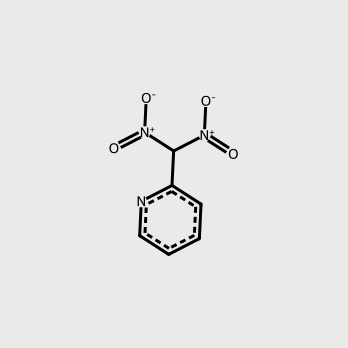 O=[N+]([O-])C(c1ccccn1)[N+](=O)[O-]